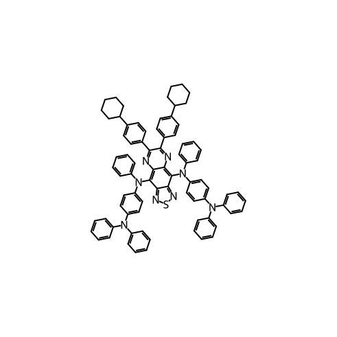 c1ccc(N(c2ccccc2)c2ccc(N(c3ccccc3)c3c4nsnc4c(N(c4ccccc4)c4ccc(N(c5ccccc5)c5ccccc5)cc4)c4nc(-c5ccc(C6CCCCC6)cc5)c(-c5ccc(C6CCCCC6)cc5)nc34)cc2)cc1